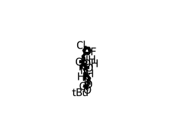 CC(C)(C)OC(=O)ON1C[C@@H]2[C@H](C1)[C@H]2N1CCC(O)(C(=O)NCc2cc(F)cc(Cl)c2)C1=O